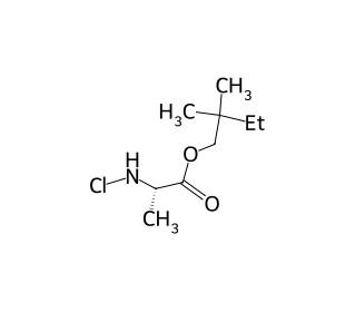 CCC(C)(C)COC(=O)[C@H](C)NCl